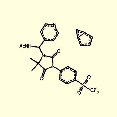 CC(=O)NC(c1ccncc1)N1C(=O)N(c2ccc(S(=O)(=O)C(F)(F)F)cc2)C(=O)C1(C)C.c1cc2cc-2c1